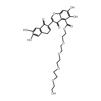 O=C1C(c2coc3cc(O)c(O)c(C(=O)OCCOCCOCCOCCOCCO)c3c2=O)=CCc2cc(O)c(O)cc21